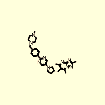 Cc1nc2nc(C)c(C[C@@H]3CCN(c4cnc(-c5ccc(CN6CCN(C)CC6)cc5)nc4)C3)c(C)n2n1